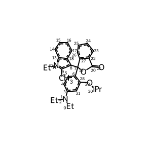 CCN(CC)c1ccc(C2(c3c(C)n(CC)c4ccccc34)OC(=O)c3ccccc32)c(OC(C)C)c1